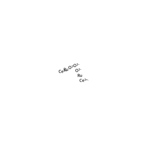 [Ce+3].[Ce+3].[O-2].[O-2].[O-2].[Ru].[Ru]